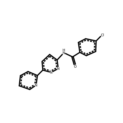 O=C(Nc1ccc(-c2ccccn2)nn1)c1ccc(Cl)cc1